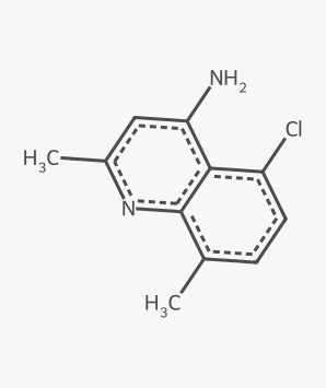 Cc1cc(N)c2c(Cl)ccc(C)c2n1